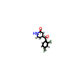 O=C1CC(C(=O)c2ccc(F)cc2F)CCN1